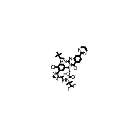 CC(C)(C)CCNC(=N)N(C(=O)c1ccc(-c2ncccn2)cc1)[C@H](COC(=O)NC(C)(C)C(F)F)c1ccc(Cl)c(-c2ncnn2C(F)F)c1